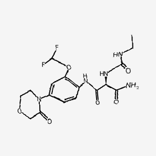 CCNC(=O)N[C@@H](C(N)=O)C(=O)Nc1ccc(N2CCOCC2=O)cc1OC(F)F